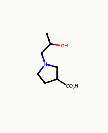 [CH2]C(O)CN1CCC(C(=O)O)C1